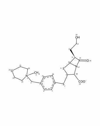 C[N+]1(Cc2ccc(SC3SC4[C@@H](CCO)C(=O)N4C3C(=O)[O-])cc2)CCOCC1